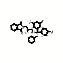 O=C1c2ccccc2C(=O)N1CC(O)CN[C@@](Cc1ccccc1)(c1cc(F)cc(C(F)(F)F)c1)c1ccc(Cl)cn1